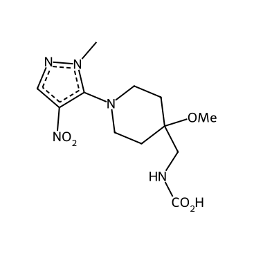 COC1(CNC(=O)O)CCN(c2c([N+](=O)[O-])cnn2C)CC1